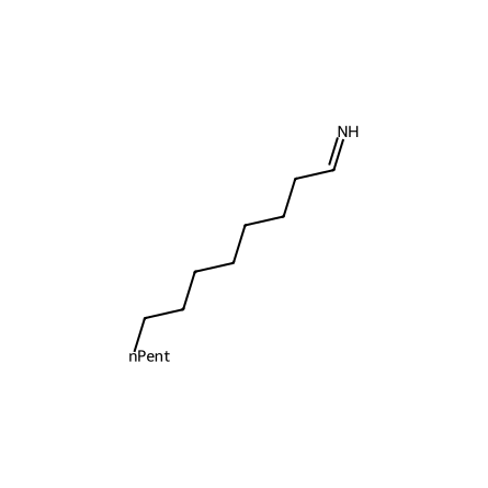 CCCCCCCCCCCCC=N